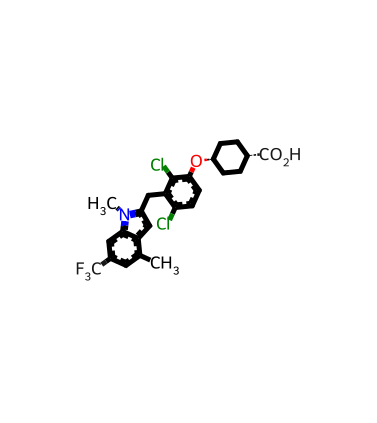 Cc1cc(C(F)(F)F)cc2c1cc(Cc1c(Cl)ccc(O[C@H]3CC[C@@H](C(=O)O)CC3)c1Cl)n2C